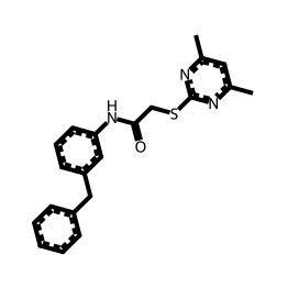 Cc1cc(C)nc(SCC(=O)Nc2cccc(Cc3ccccc3)c2)n1